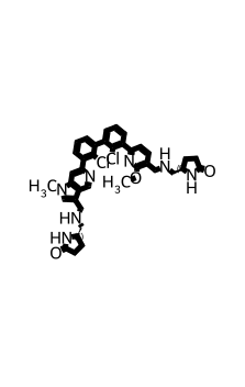 COc1nc(-c2cccc(-c3cccc(-c4cc5c(cn4)c(CNC[C@@H]4CCC(=O)N4)cn5C)c3Cl)c2Cl)ccc1CNC[C@H]1CCC(=O)N1